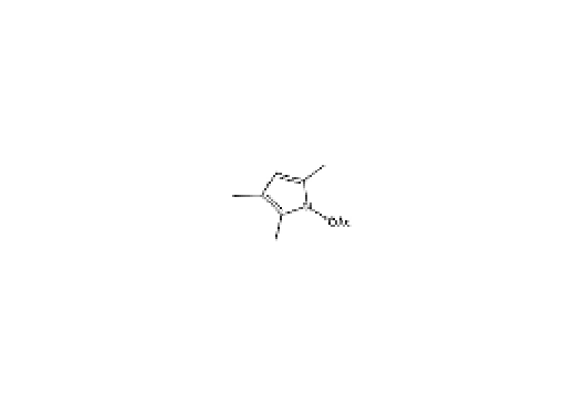 CC(=O)On1c(C)cc(C)c1C